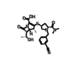 C[C@@H](O)[C@H]1C(=O)N2C(C(=O)O)=C(S[C@H]3C[C@@H](C(=O)N(C)C)N(Cc4cccc(C#N)c4)C3)[C@H](C)[C@H]12